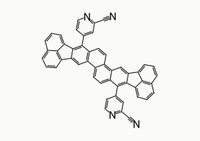 N#Cc1cc(-c2c3c(cc4c2ccc2c5cc6c(c(-c7ccnc(C#N)c7)c5ccc42)-c2cccc4cccc-6c24)-c2cccc4cccc-3c24)ccn1